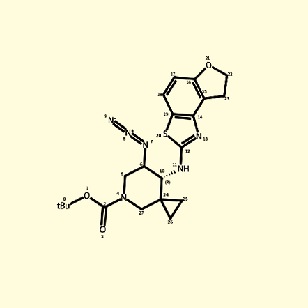 CC(C)(C)OC(=O)N1CC(N=[N+]=[N-])[C@H](Nc2nc3c4c(ccc3s2)OCC4)C2(CC2)C1